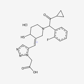 Cl.O=C(O)Cn1nncc1/C=C1/CN(C(C(=O)C2CC2)c2ccccc2F)CCC1S